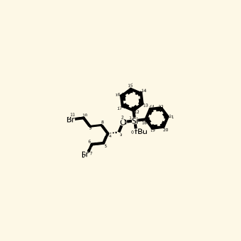 CC(C)(C)[Si](OC[C@H](CCBr)CCCBr)(c1ccccc1)c1ccccc1